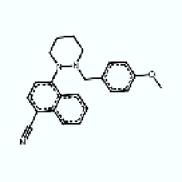 COc1ccc(CN2CCCCN2c2ccc(C#N)c3ccccc23)cc1